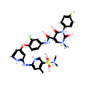 Cc1cc(Nc2cc(Oc3ccc(NC(=O)c4cn(C(C)C)c(=O)n(-c5ccc(F)cc5)c4=O)cc3F)ccn2)ncc1S(=O)(=O)N(C)C